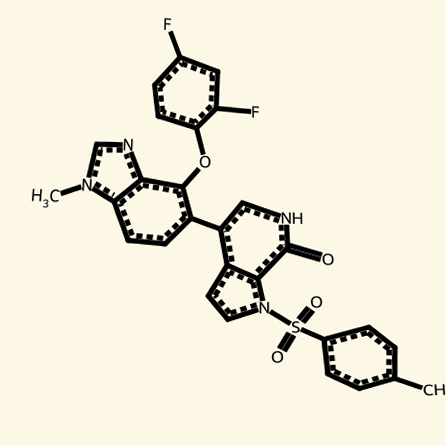 Cc1ccc(S(=O)(=O)n2ccc3c(-c4ccc5c(ncn5C)c4Oc4ccc(F)cc4F)c[nH]c(=O)c32)cc1